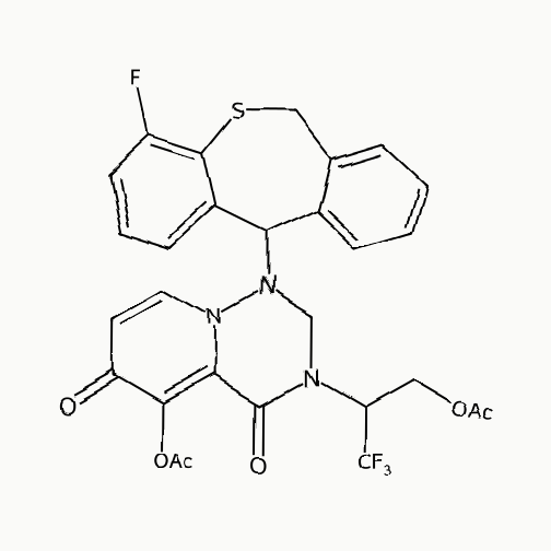 CC(=O)OCC(N1CN(C2c3ccccc3CSc3c(F)cccc32)n2ccc(=O)c(OC(C)=O)c2C1=O)C(F)(F)F